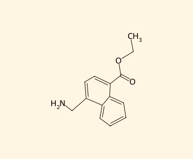 CCOC(=O)c1ccc(CN)c2ccccc12